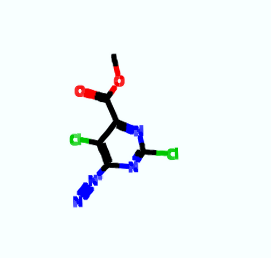 COC(=O)c1nc(Cl)nc([N+]#N)c1Cl